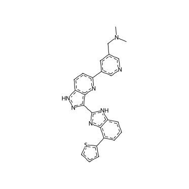 CN(C)Cc1cncc(-c2ccc3[nH]nc(-c4nc5c(-c6cccs6)cccc5[nH]4)c3n2)c1